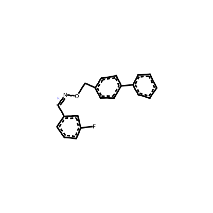 Fc1cccc(/[C]=N\OCc2ccc(-c3ccccc3)cc2)c1